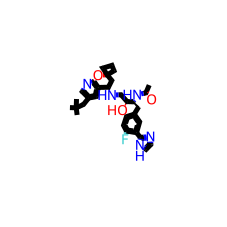 CC(=O)N[C@@H](Cc1ccc(F)c(-c2ncc[nH]2)c1)[C@H](O)CN[C@H]1CC2(CCC2)Oc2ncc(CC(C)(C)C)cc21